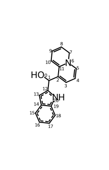 OC(C1=CC=CN2CC=CC=C12)c1cc2ccccc2[nH]1